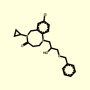 O=C1CCN(CC(O)COCc2ccccc2)c2ccc(Cl)cc2CN1C1CC1